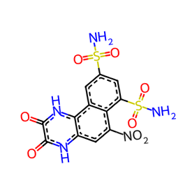 NS(=O)(=O)c1cc(S(N)(=O)=O)c2c([N+](=O)[O-])cc3[nH]c(=O)c(=O)[nH]c3c2c1